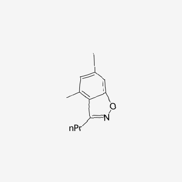 CCCc1noc2cc(C)cc(C)c12